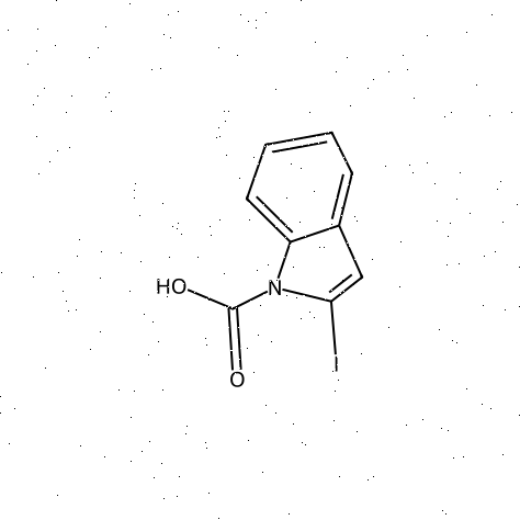 O=C(O)n1c(I)cc2ccccc21